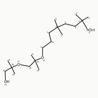 CCCCCCCCC(C)(C)CCC(C)(C)CCCOC(C)(C)COC(C)(C)CO